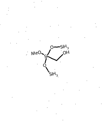 CO[Si](CO)(O[SiH3])O[SiH3]